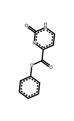 O=C(Oc1ccccc1)c1cc[nH]c(=O)n1